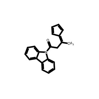 CC(CC(=O)n1c2ccccc2c2ccccc21)=C1C=CC=C1